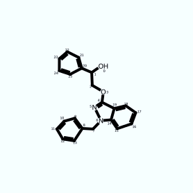 OC(COc1nn(Cc2ccccc2)c2ccccc12)c1ccccc1